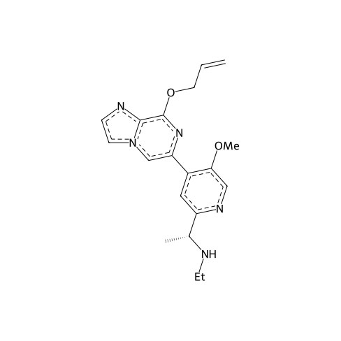 C=CCOc1nc(-c2cc([C@@H](C)NCC)ncc2OC)cn2ccnc12